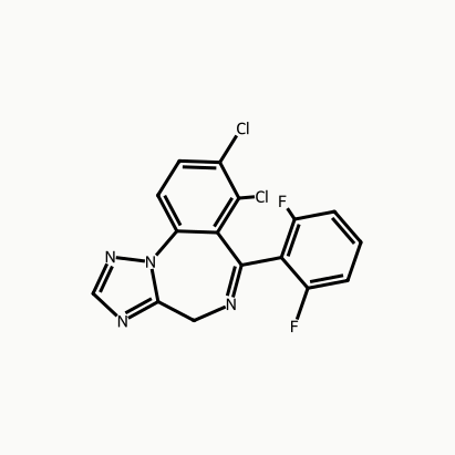 Fc1cccc(F)c1C1=NCc2ncnn2-c2ccc(Cl)c(Cl)c21